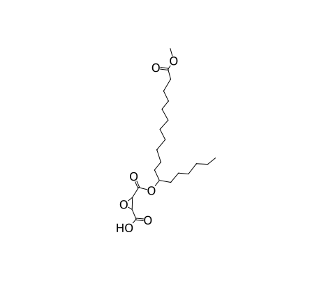 CCCCCCC(CCCCCCCCCCC(=O)OC)OC(=O)C1OC1C(=O)O